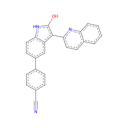 N#Cc1ccc(-c2ccc3[nH]c(O)c(-c4ccc5ccccc5n4)c3c2)cc1